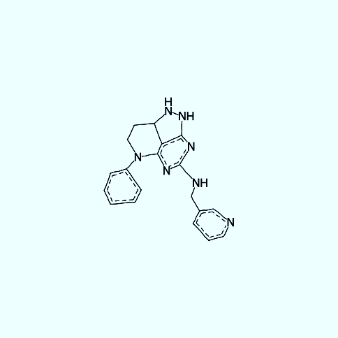 c1ccc(N2CCC3NNc4nc(NCc5cccnc5)nc2c43)cc1